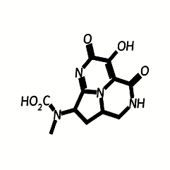 CN(C(=O)O)C1CC2CNC(=O)c3c(O)c(=O)nc1n32